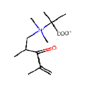 C=C(C)C(=O)C(C)C[N+](C)(C)C(C)(C)C(=O)[O-]